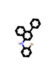 Brc1ccccc1Nc1ccc(-c2ccccc2)c2ccccc12